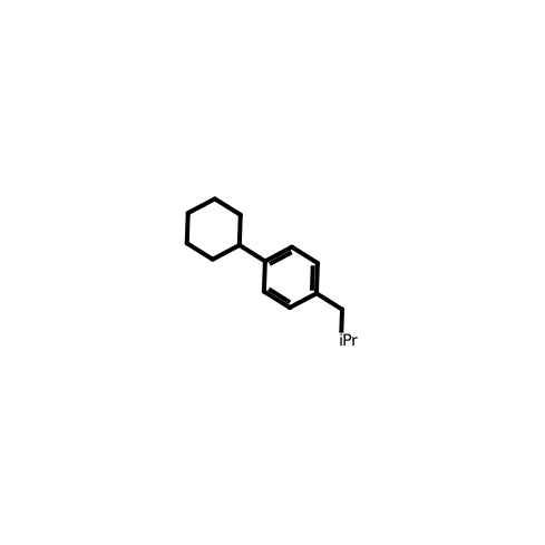 [CH2]C(C)Cc1ccc(C2CCCCC2)cc1